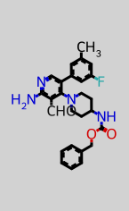 Cc1cc(F)cc(-c2cnc(N)c(C=O)c2N2CCC(NC(=O)OCc3ccccc3)CC2)c1